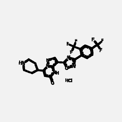 Cl.O=c1cc(C2CCNCC2)n2ncc(-c3nc(-c4ccc(C(F)(F)F)cc4C(F)(F)F)no3)c2[nH]1